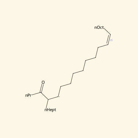 CCCCCCCC/C=C\CCCCCCC[CH]C(CCCCCCC)C(=O)CCC